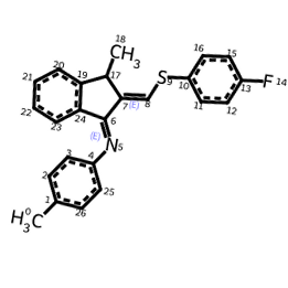 Cc1ccc(/N=C2/C(=C/Sc3ccc(F)cc3)C(C)c3ccccc32)cc1